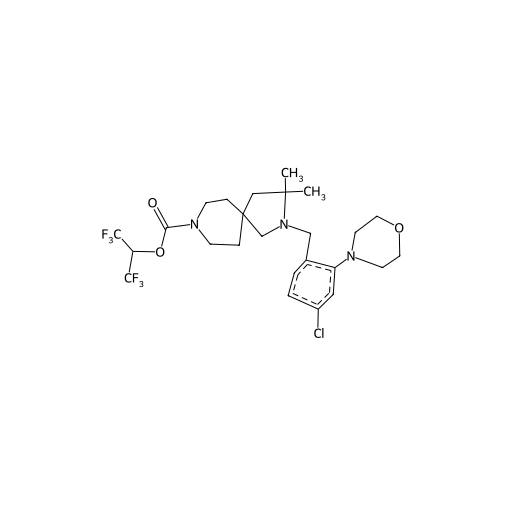 CC1(C)CC2(CCN(C(=O)OC(C(F)(F)F)C(F)(F)F)CC2)CN1Cc1ccc(Cl)cc1N1CCOCC1